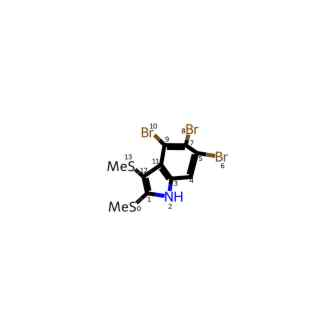 CSc1[nH]c2cc(Br)c(Br)c(Br)c2c1SC